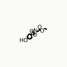 CCOC(=O)CN(C)S(=O)(=O)c1ccc(O)cc1